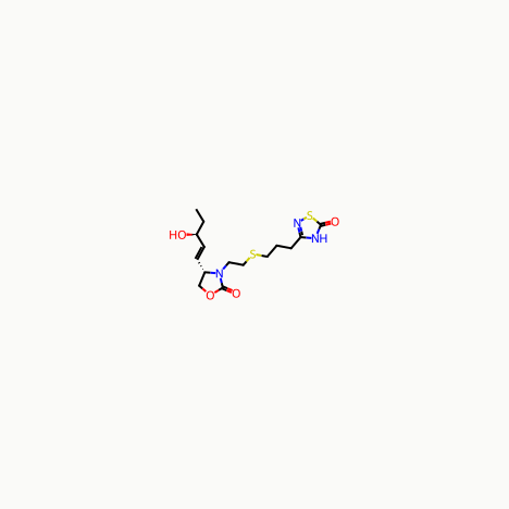 CC[C@H](O)/C=C/[C@H]1COC(=O)N1CCSCCCc1nsc(=O)[nH]1